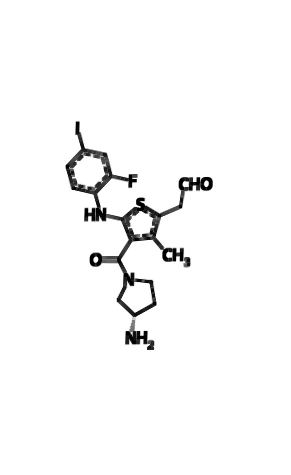 Cc1c(CC=O)sc(Nc2ccc(I)cc2F)c1C(=O)N1CC[C@H](N)C1